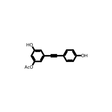 CC(=O)Oc1cc(O)cc(C#Cc2ccc(O)cc2)c1